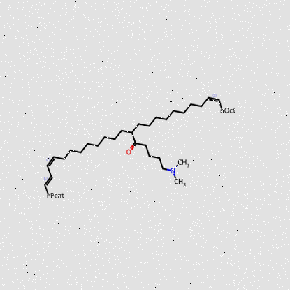 CCCCC/C=C/C=C\CCCCCCCCC(CCCCCCCC/C=C\CCCCCCCC)C(=O)CCCCN(C)C